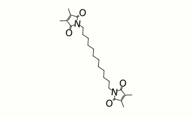 CC1=C(C)C(=O)N(CCCCCCCCCCCCN2C(=O)C(C)=C(C)C2=O)C1=O